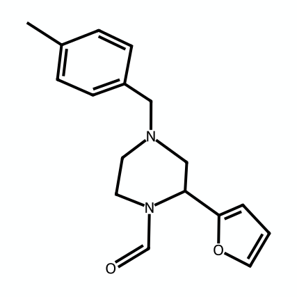 Cc1ccc(CN2CCN(C=O)C(c3ccco3)C2)cc1